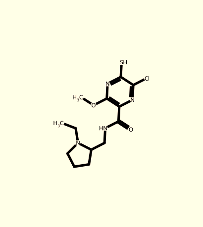 CCN1CCCC1CNC(=O)c1nc(Cl)c(S)nc1OC